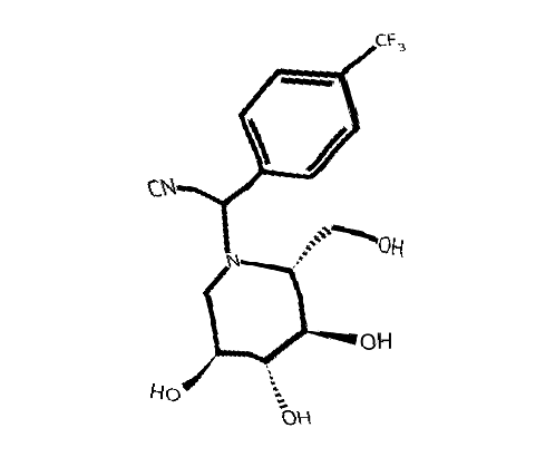 [C-]#[N+]C(c1ccc(C(F)(F)F)cc1)N1C[C@H](O)[C@@H](O)[C@H](O)[C@H]1CO